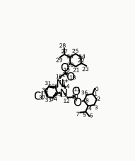 CC1CCC(C(C)C)C(OC(=O)Cn2c[n+](CC(=O)OC3CC(C)CCC3C(C)C)c3ccccc32)C1.[Cl-]